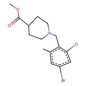 COC(=O)C1CCN(Cc2c(C)cc(Br)cc2Cl)CC1